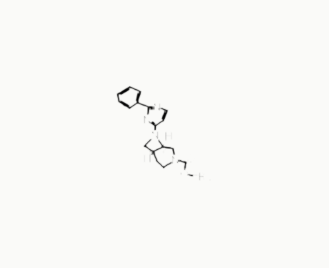 CC(C)(C)OC(=O)N1CC[C@H]2CN(c3ccnc(-c4ccccc4)n3)[C@H]2C1